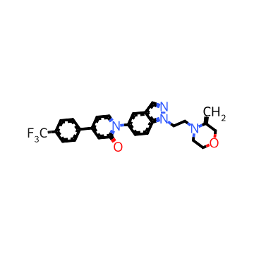 C=C1COCCN1CCn1ncc2cc(-n3ccc(-c4ccc(C(F)(F)F)cc4)cc3=O)ccc21